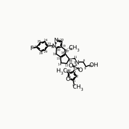 Cc1cc(S(=O)(=O)N(CCO)C[C@H]2CCC3=C2[C@@H](C)c2cnn(-c4ccc(F)cc4)c2C3)c(C)o1